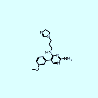 COc1cccc(-c2cnc(N)nc2NCCCN2C=NCC2)c1